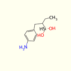 CCC(Cc1ccc(N)cc1)[SiH](O)O